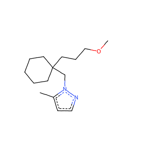 COCCCC1(Cn2nccc2C)CCCCC1